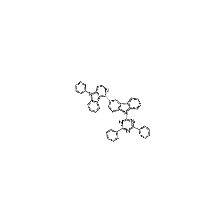 c1ccc(-c2nc(-c3ccccc3)nc(-n3c4ccccc4c4cc(-c5nccc6c5c5ccccc5n6-c5ccccc5)ccc43)n2)cc1